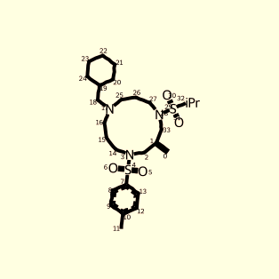 C=C1CN(S(=O)(=O)c2ccc(C)cc2)CCCN(CC2CCCCC2)CCCN(S(=O)(=O)C(C)C)C1